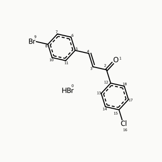 Br.O=C(C=Cc1ccc(Br)cc1)c1ccc(Cl)cc1